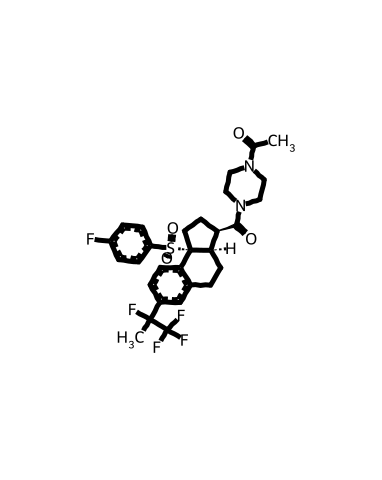 CC(=O)N1CCN(C(=O)[C@@H]2CC[C@]3(S(=O)(=O)c4ccc(F)cc4)c4ccc(C(C)(F)C(F)(F)F)cc4CC[C@H]23)CC1